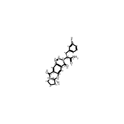 NC(=O)[C@H](Cc1cccc(F)c1)n1nnc2cc3c(cc2c1=O)O[C@H]1CCCN1C3=O